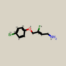 NCC=C(F)COc1ccc(Br)cc1